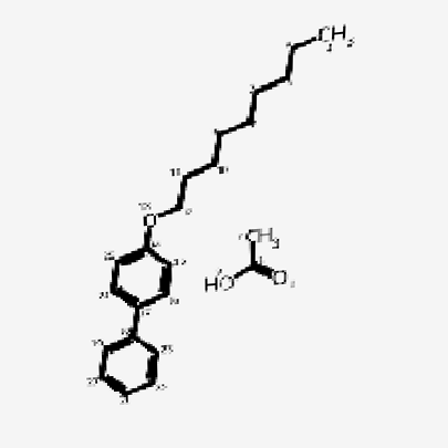 CC(=O)O.CCCCCCCCCOc1ccc(-c2ccccc2)cc1